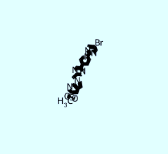 CS(=O)(=O)c1cnc2c(ccn2Cc2cnc(C3CCN(c4ncc(Br)cn4)CC3)cn2)c1